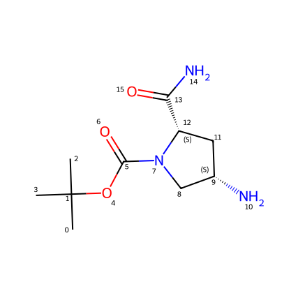 CC(C)(C)OC(=O)N1C[C@@H](N)C[C@H]1C(N)=O